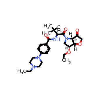 CCO[C@H]1CN(C(=O)C(NC(=O)c2ccc(N3CCN(CC)CC3)cc2)C(C)(C)C)[C@@H]2C(=O)CO[C@H]12